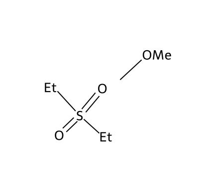 CCS(=O)(=O)CC.COC